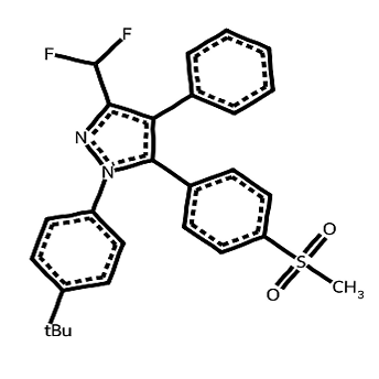 CC(C)(C)c1ccc(-n2nc(C(F)F)c(-c3ccccc3)c2-c2ccc(S(C)(=O)=O)cc2)cc1